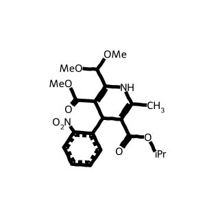 COC(=O)C1=C(C(OC)OC)NC(C)=C(C(=O)OC(C)C)C1c1ccccc1[N+](=O)[O-]